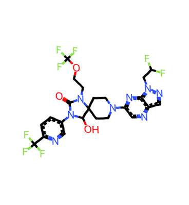 O=C1N(c2ccc(C(F)(F)F)nc2)C(O)C2(CCN(c3cnc4cnn(CC(F)F)c4n3)CC2)N1CCOC(F)(F)F